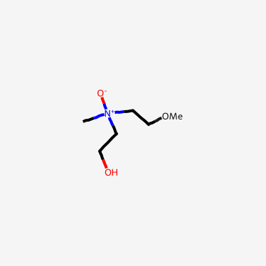 COCC[N+](C)([O-])CCO